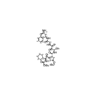 CCCC(NC(=O)[C@@H]1C[C@@H](OC(C)(C)C)CN1C(=O)[C@@H](NC(=O)OCC(C)C)C1CCCCC1)C(=O)C(=O)NCC(=O)NC(CC(N)=O)c1ccccc1